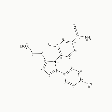 CCOC(=O)CCc1ccc(-c2ccc(C#N)cc2)n1-c1ccc(C(N)=O)cc1C